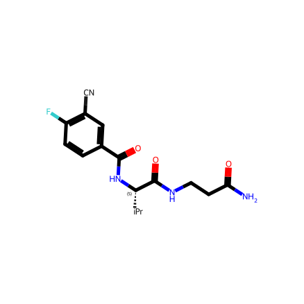 CC(C)[C@H](NC(=O)c1ccc(F)c(C#N)c1)C(=O)NCCC(N)=O